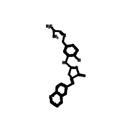 CN(C)/C=N\Cc1ccc(Cl)c(NC2=NC(=O)/C(=C/c3ccc4ncccc4c3)S2)c1